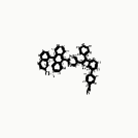 CC1C=Cc2cccc(-c3c4ccccc4c(-c4ncc(-c5oc6c(-c7ccc(C#N)cc7)cccc6c5-c5ccccc5)cn4)c4ccccc34)c2C1